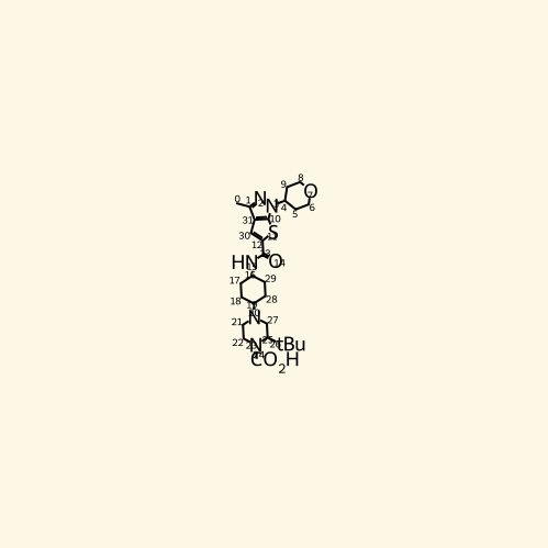 Cc1nn(C2CCOCC2)c2sc(C(=O)N[C@H]3CC[C@H](N4CCN(C(=O)O)C(C(C)(C)C)C4)CC3)cc12